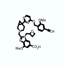 C#Cc1ccc(COc2ccnc(C34CCN(Cc5nc6c(OC)cc(C(=O)O)cc6n5CC5CCO5)CC3C4)n2)c(OC)c1